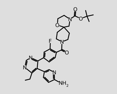 CCc1ncnc(-c2ccc(C(=O)N3CCC4(CC3)CN(C(=O)OC(C)(C)C)CCO4)c(F)c2)c1-c1ccc(N)nc1